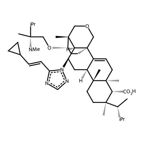 CN[C@@](C)(CO[C@H]1[C@H](n2ncnc2/C=C/C2CC2)C[C@@]23COC[C@]1(C)[C@@H]2CC[C@H]1C3=CC[C@@]2(C)[C@H](C(=O)O)[C@@](C)([C@H](C)C(C)C)CC[C@]12C)C(C)C